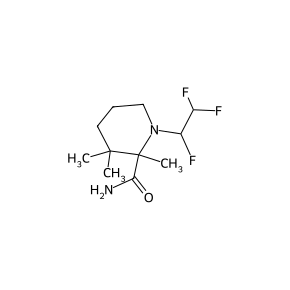 CC1(C)CCCN(C(F)C(F)F)C1(C)C(N)=O